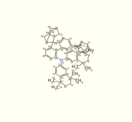 CC1(C)CCC(C)(C)c2cc(N(c3ccc4c(c3)C(C)(C)CCC4(C)C)c3cccc4c3-c3cc(-c5ccccc5)ccc3C43C4CC5CC(C4)C3C5)ccc21